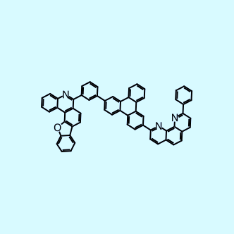 c1ccc(-c2ccc3ccc4ccc(-c5ccc6c7ccc(-c8cccc(-c9nc%10ccccc%10c%10c9ccc9c%11ccccc%11oc9%10)c8)cc7c7ccccc7c6c5)nc4c3n2)cc1